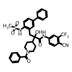 CS(=O)(=O)Nc1ccc(-c2ccccc2)cc1CC(O)(C(=O)Nc1ccc(C#N)c(C(F)(F)F)c1)C1CCN(C(=O)c2ccccc2)CC1